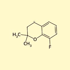 CC1(C)C[C]c2cccc(F)c2O1